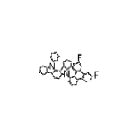 Fc1ccc2c(c1)c1cc(F)ccc1c1c(-n3c4ccccc4c4c3ccc3c5ccccc5n(-c5ccccc5)c34)cccc21